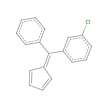 Clc1cccc(C(=C2C=CC=C2)c2ccccc2)c1